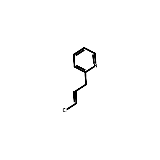 Cl/C=C/Cc1ccccn1